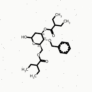 CCC(CC)C(=O)OC[C@H]1OC(O)C[C@@H](OC(=O)C(CC)CC)[C@@H]1OCc1ccccc1